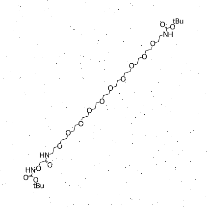 CC(C)(C)OC(=O)NCCOCCOCCOCCOCCOCCOCCOCCOCCOCCOCCNC(=O)CONC(=O)OC(C)(C)C